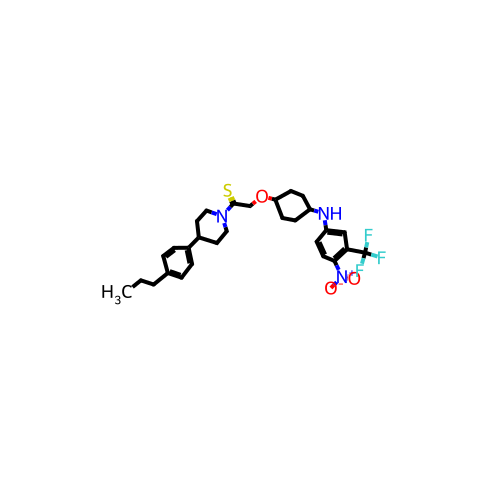 CCCc1ccc(C2CCN(C(=S)COC3CCC(Nc4ccc([N+](=O)[O-])c(C(F)(F)F)c4)CC3)CC2)cc1